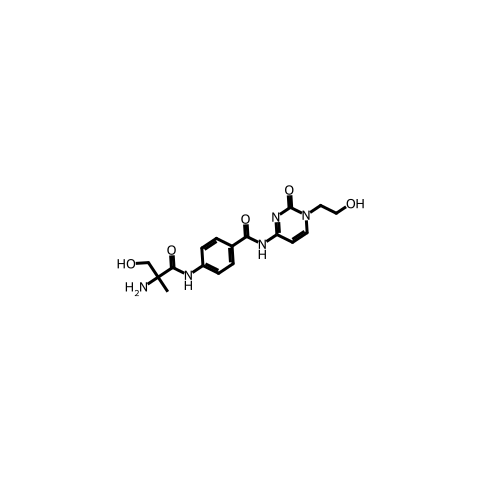 CC(N)(CO)C(=O)Nc1ccc(C(=O)Nc2ccn(CCO)c(=O)n2)cc1